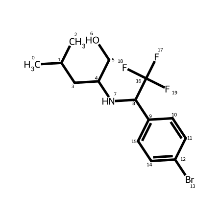 CC(C)CC(CO)NC(c1ccc(Br)cc1)C(F)(F)F